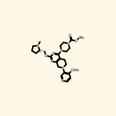 COc1ccncc1N1CCc2c(nc(OC[C@@H]3CCCN3C)nc2N2CCN(C(=O)OC(C)(C)C)CC2)C1